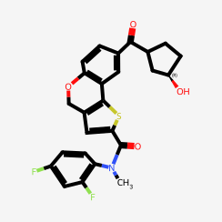 CN(C(=O)c1cc2c(s1)-c1cc(C(=O)C3CC[C@@H](O)C3)ccc1OC2)c1ccc(F)cc1F